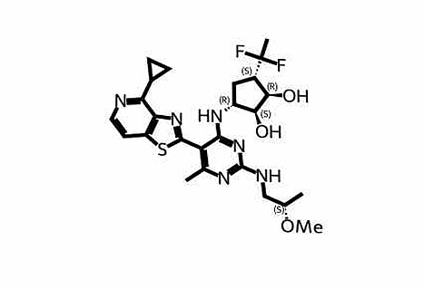 CO[C@@H](C)CNc1nc(C)c(-c2nc3c(C4CC4)nccc3s2)c(N[C@@H]2C[C@H](C(C)(F)F)[C@@H](O)[C@H]2O)n1